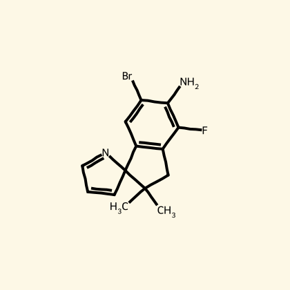 CC1(C)Cc2c(cc(Br)c(N)c2F)C12C=CC=N2